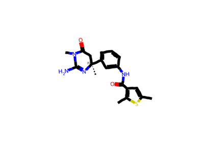 Cc1cc(C(=O)Nc2cccc([C@]3(C)CC(=O)N(C)C(N)=N3)c2)c(C)s1